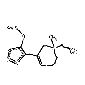 CCCCCCOc1nsnc1C1=CCC[N+](C)(COC(C)=O)C1.[I-]